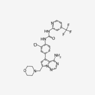 Nc1ncnn2c(CN3CCOCC3)cc(-c3ccc(NC(=O)Nc4cc(C(F)(F)F)ccn4)c(Cl)c3)c12